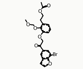 COCOc1c(CCOC(C)=O)cccc1OCC(=O)c1cc(Br)c2occc2c1